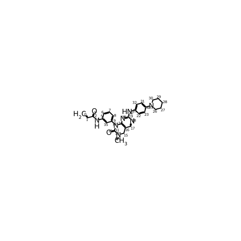 C=CC(=O)Nc1cccc(N2C(=O)N(C)Cc3cnc(Nc4ccc(N5CCCCC5)cc4)nc32)c1